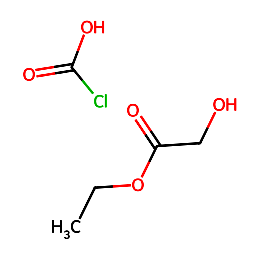 CCOC(=O)CO.O=C(O)Cl